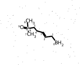 BC/C=C/CCP(C)(C)=O